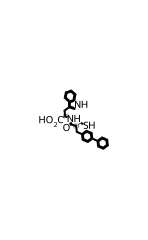 O=C(N[C@@H](Cc1c[nH]c2ccccc12)C(=O)O)[C@H](CS)Cc1ccc(-c2ccccc2)cc1